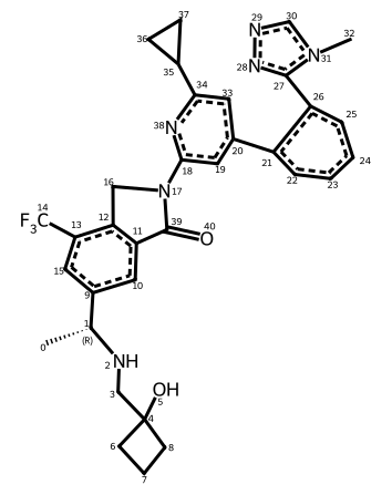 C[C@@H](NCC1(O)CCC1)c1cc2c(c(C(F)(F)F)c1)CN(c1cc(-c3ccccc3-c3nncn3C)cc(C3CC3)n1)C2=O